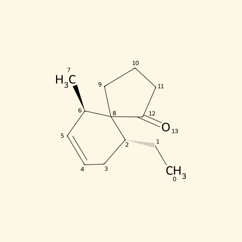 CC[C@@H]1CC=C[C@@H](C)C12CCCC2=O